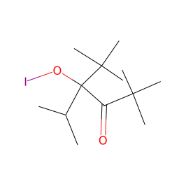 CC(C)C(OI)(C(=O)C(C)(C)C)C(C)(C)C